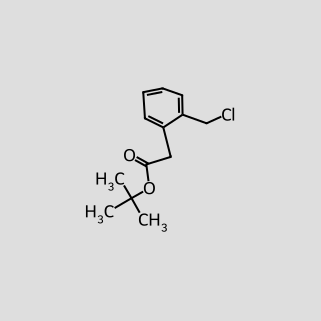 CC(C)(C)OC(=O)Cc1ccccc1CCl